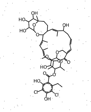 CCc1c(Cl)c(O)c(Cl)c(O)c1C(=O)OC1C(C)OC(OC/C2=C\C=C\CC(O)/C(C)=C/C3CCC4(C)OC(OC3/C(C)=C/C(C)=C/CC(CC)OC2=O)C(O)C(O)C4O)C(OC)C1O